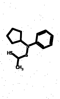 CC(S)SN(c1ccccc1)C1CCCC1